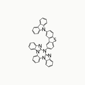 c1ccc2c(c1)nc1n(-c3ccc4sc5ccc(-n6c7ccccc7c7ccccc76)cc5c4c3)c3nc4ccccc4n3c3ccccc3n21